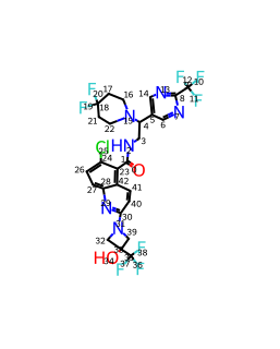 O=C(NCC(c1cnc(C(F)(F)F)nc1)N1CCC(F)(F)CC1)c1c(Cl)ccc2nc(N3CC(O)(C(F)(F)F)C3)ccc12